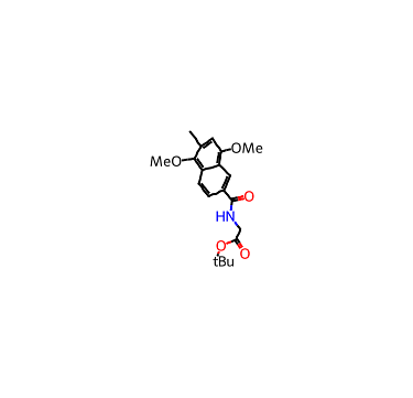 COc1cc(C)c(OC)c2ccc(C(=O)NCC(=O)OC(C)(C)C)cc12